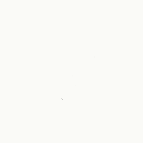 CCOC(=O)N(CC#N)Cc1ccccc1N=O